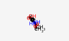 CC(C)OC(=O)NNc1ccc(C(=O)O)cc1